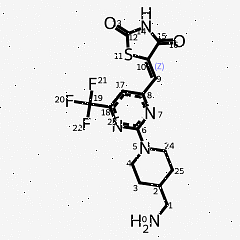 NCC1CCN(c2nc(/C=C3\SC(=O)NC3=O)cc(C(F)(F)F)n2)CC1